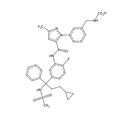 CS(=O)(=O)NC(CCC1CC1)(c1ccccc1)c1ccc(F)c(NC(=O)c2cc(C(F)(F)F)nn2-c2cccc(CNC(=O)O)c2)c1